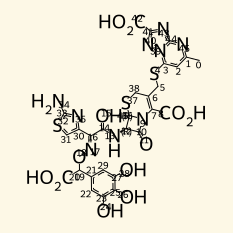 Cc1cc(SCC2=C(C(=O)O)N3C(=O)[C@@H](NC(=O)C(=NOC(C(=O)O)c4cc(O)c(O)c(O)c4)c4csc(N)n4)[C@H]3SC2)n2nc(C(=O)O)nc2n1